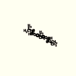 C=C(C)COC(=O)C(O)COc1ccc(C(C)(C)c2ccc(OCC(O)C(=O)OCC(=C)C)cc2)cc1